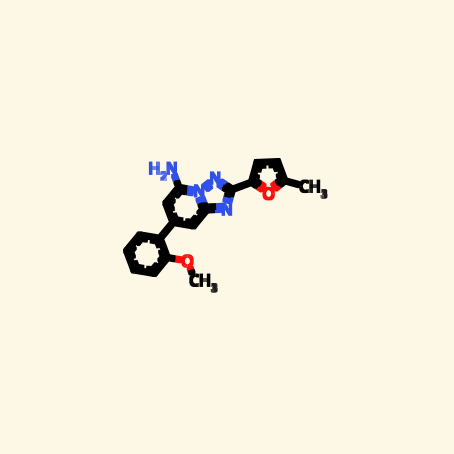 COc1ccccc1-c1cc(N)n2nc(-c3ccc(C)o3)nc2c1